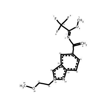 C=C(/N=C(\OC)C(F)(F)F)c1ccc2nn(CCOC)cc2c1